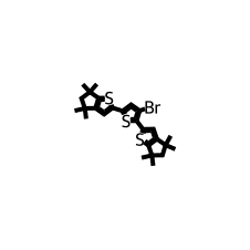 CC1(C)CC(C)(C)c2sc(-c3cc(Br)c(-c4cc5c(s4)C(C)(C)CC5(C)C)s3)cc21